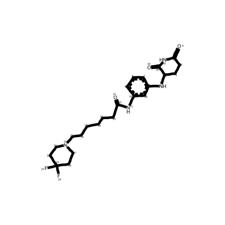 O=C1CCC(Nc2cccc(NC(=O)CCCCCCN3CCC(F)(F)CC3)c2)C(=O)N1